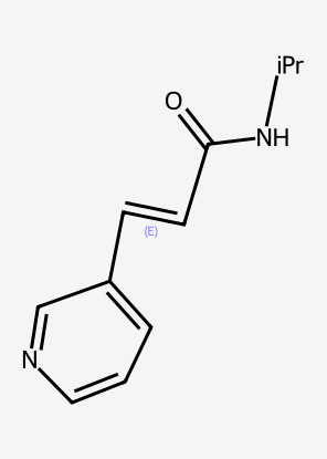 CC(C)NC(=O)/C=C/c1cccnc1